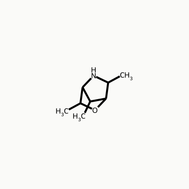 CC1NC2C(C)OC1C2C